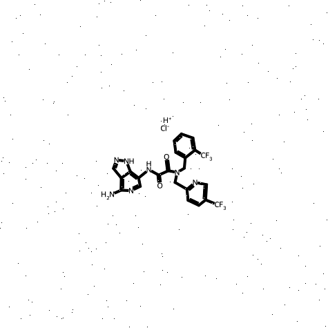 Nc1ncc(NC(=O)C(=O)N(Cc2ccc(C(F)(F)F)cn2)Cc2ccccc2C(F)(F)F)c2[nH]ncc12.[Cl-].[H+]